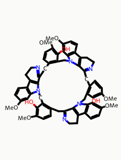 COc1ccc2c3c4n(c2c1)Cc1c(ccc(OC)c1O)CC1=NCCc2c1n(c1cc(OC)ccc21)Cc1c(ccc(OC)c1O)CC1=NCCc2c1n(c1cc(OC)ccc21)Cc1c(ccc(OC)c1O)CC4=NCC3